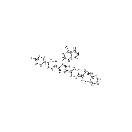 CN1CCC(N2CCN(C(=O)C(Cc3cc(Cl)c4[nH]ncc4c3)NC(=O)N3CCC(N4CCc5ccccc5NC4=O)CC3)CC2)CC1